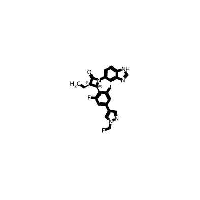 CC[C@H]1C(=O)N(c2ccc3[nH]cnc3c2)[C@H]1c1c(F)cc(-c2cnn(CF)c2)cc1I